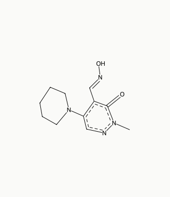 Cn1ncc(N2CCCCC2)c(C=NO)c1=O